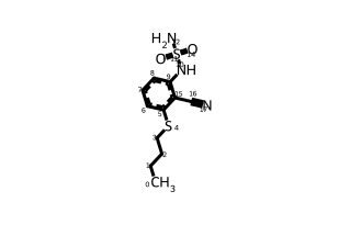 CCCCSc1cccc(NS(N)(=O)=O)c1C#N